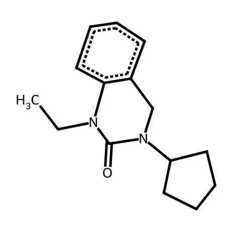 CCN1C(=O)N(C2CCCC2)Cc2ccccc21